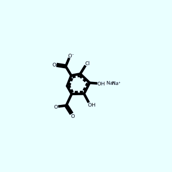 O=C([O-])c1cc(C(=O)[O-])c(Cl)c(O)c1O.[Na+].[Na+]